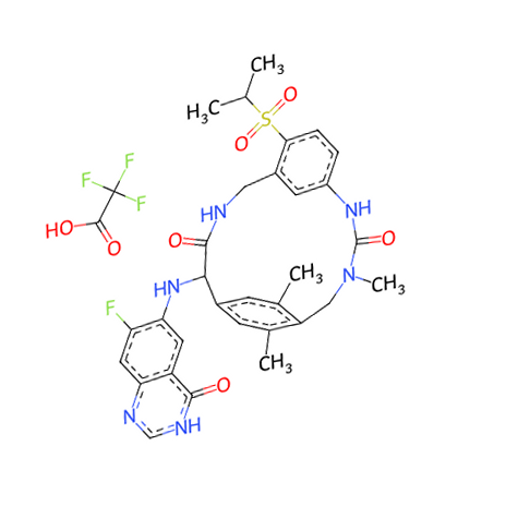 Cc1cc2cc(C)c1CN(C)C(=O)Nc1ccc(S(=O)(=O)C(C)C)c(c1)CNC(=O)C2Nc1cc2c(=O)[nH]cnc2cc1F.O=C(O)C(F)(F)F